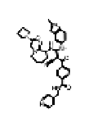 Cc1cc2cc(NC(N[C@H]3CCCCN(CC(=O)N4CCCC4)C3=O)=C(C#N)C(=O)c3ccc(C(=O)NCc4ccncc4)cc3)ccc2o1